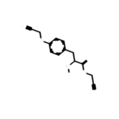 C#CCOC(=O)C(Cc1ccc(OCC#C)cc1)NCl